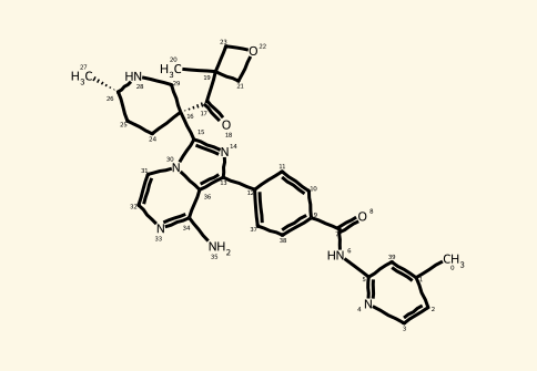 Cc1ccnc(NC(=O)c2ccc(-c3nc([C@@]4(C(=O)C5(C)COC5)CC[C@H](C)NC4)n4ccnc(N)c34)cc2)c1